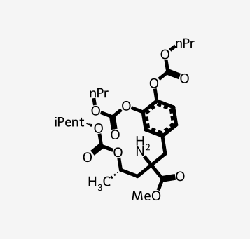 CCCOC(=O)Oc1ccc(CC(N)(C[C@H](C)OC(=O)O[C@@H](C)CCC)C(=O)OC)cc1OC(=O)OCCC